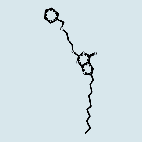 CCCCCCCCCCc1cc2c(=O)oc(OCCCOCc3ccccc3)nc2s1